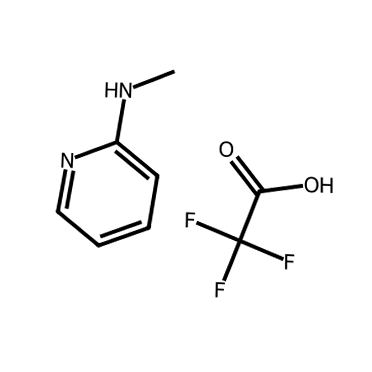 CNc1ccccn1.O=C(O)C(F)(F)F